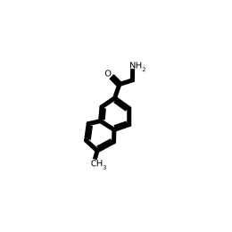 Cc1ccc2cc(C(=O)CN)ccc2c1